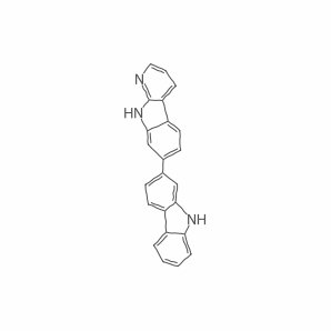 c1ccc2c(c1)[nH]c1cc(-c3ccc4c(c3)[nH]c3ncccc34)ccc12